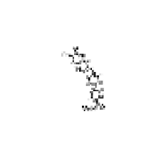 CCN1Cc2ncc(CN3CCN(c4ccc(C(=O)NC)nc4)CC3)cc2NC1=O